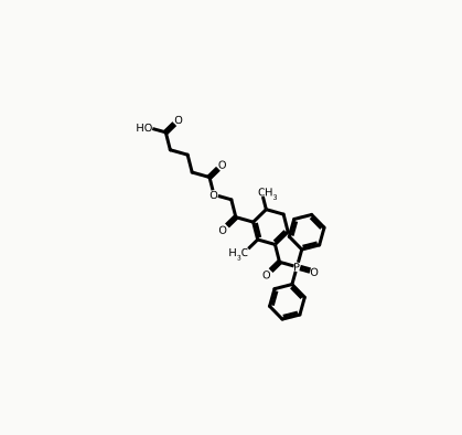 CC1=C(C(=O)COC(=O)CCCC(=O)O)C(C)CC=C1C(=O)P(=O)(c1ccccc1)c1ccccc1